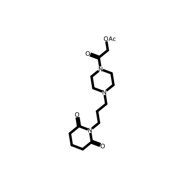 CC(=O)OCC(=O)N1CCN(CCCN2C(=O)CCCC2=O)CC1